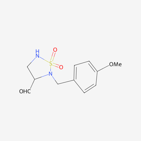 COc1ccc(CN2C(C=O)CNS2(=O)=O)cc1